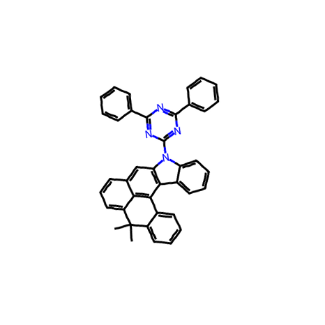 CC1(C)c2ccccc2-c2c3c1cccc3cc1c2c2ccccc2n1-c1nc(-c2ccccc2)nc(-c2ccccc2)n1